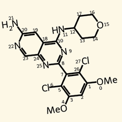 COc1cc(OC)c(Cl)c(-c2nc(NC3CCOCC3)c3cc(N)ncc3n2)c1Cl